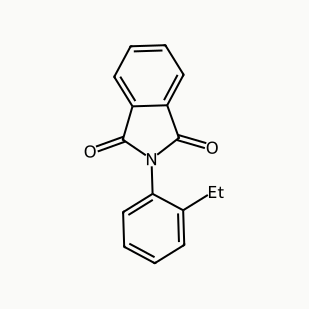 CCc1ccccc1N1C(=O)c2ccccc2C1=O